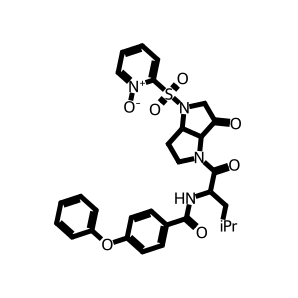 CC(C)CC(NC(=O)c1ccc(Oc2ccccc2)cc1)C(=O)N1CCC2C1C(=O)CN2S(=O)(=O)c1cccc[n+]1[O-]